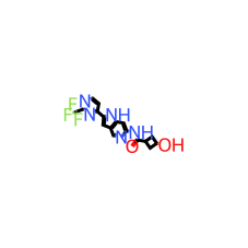 O=C(Nc1cc2[nH]c(-c3ccnc(C(F)(F)F)n3)cc2cn1)C1CC(O)C1